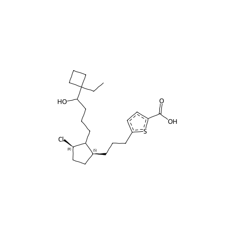 CCC1(C(O)CCCC2[C@@H](CCCc3ccc(C(=O)O)s3)CC[C@H]2Cl)CCC1